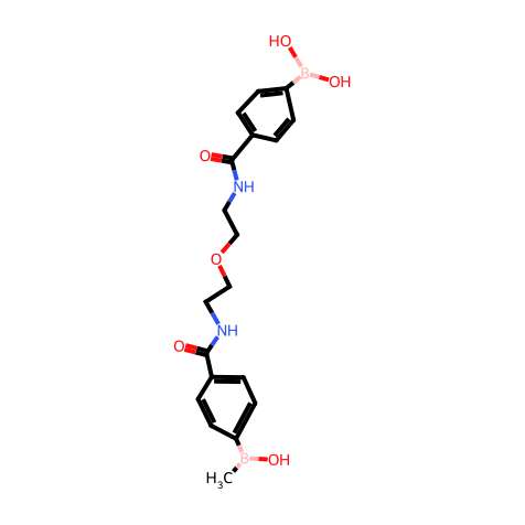 CB(O)c1ccc(C(=O)NCCOCCNC(=O)c2ccc(B(O)O)cc2)cc1